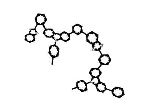 Cc1ccc(-n2c3ccc(-c4ccccc4)cc3c3cc(-c4cccc(-c5nc6ccc(-c7cccc(-c8ccc9c(c8)c8cc(-c%10ccccc%10-c%10nc%11ccccc%11o%10)ccc8n9-c8ccc(C)cc8)c7)cc6o5)c4)ccc32)cc1